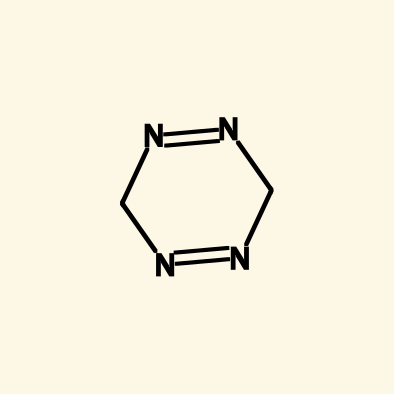 C1N=NCN=N1